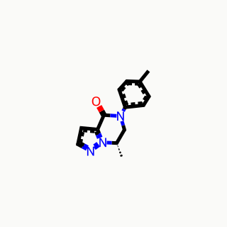 Cc1ccc(N2C[C@H](C)n3nccc3C2=O)cc1